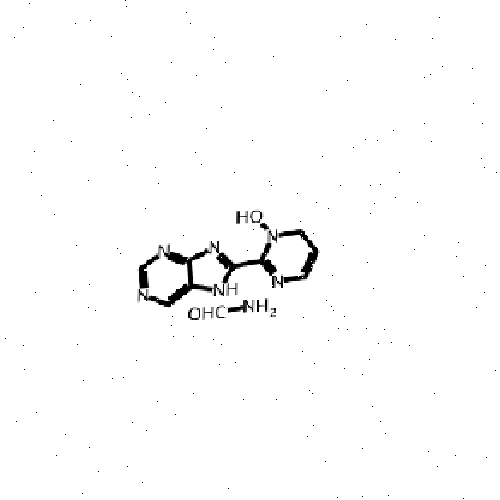 NC=O.ON1CC=CN=C1c1nc2ncncc2[nH]1